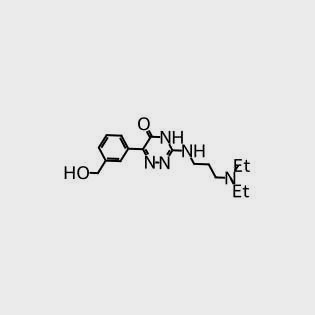 CCN(CC)CCCNc1nnc(-c2cccc(CO)c2)c(=O)[nH]1